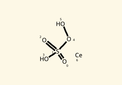 O=S(=O)(O)OO.[Ce]